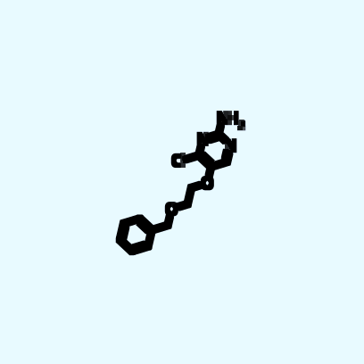 Nc1ncc(OCCOCc2ccccc2)c(Cl)n1